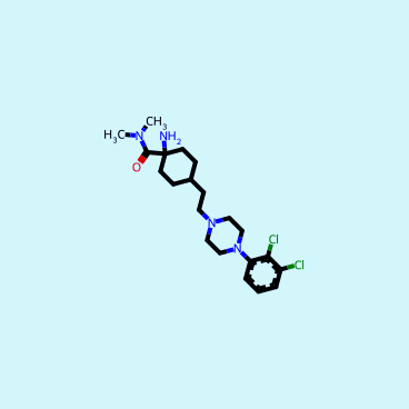 CN(C)C(=O)C1(N)CCC(CCN2CCN(c3cccc(Cl)c3Cl)CC2)CC1